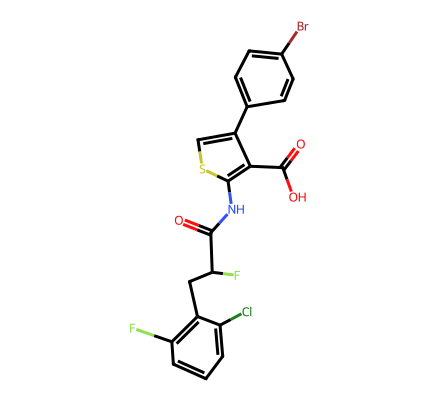 O=C(O)c1c(-c2ccc(Br)cc2)csc1NC(=O)C(F)Cc1c(F)cccc1Cl